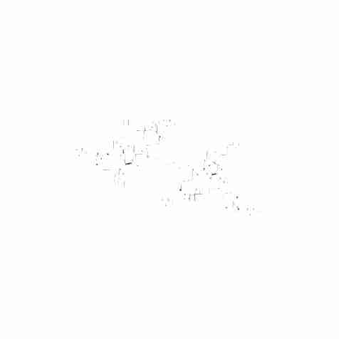 CCCC(Nc1nc(NCCO)nc(N(CCCCCCN(c2nc(NCCO)nc(NC(CCC)C3CC(C)(C)N(OC)C(C)(C)C3)n2)C2CC(C)(C)N(OC)C(C)(C)C2)C2CC(C)(C)N(OC)C(C)(C)C2)n1)C1CC(C)(C)N(OC)C(C)(C)C1